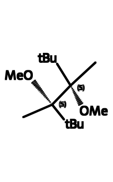 CO[C@@](C)(C(C)(C)C)[C@@](C)(OC)C(C)(C)C